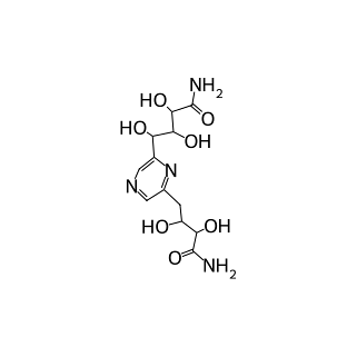 NC(=O)C(O)C(O)Cc1cncc(C(O)C(O)C(O)C(N)=O)n1